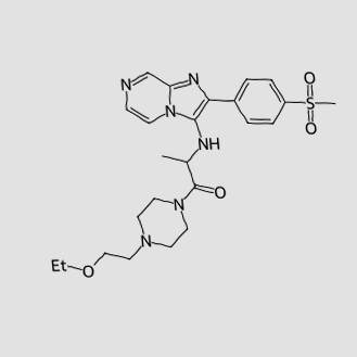 CCOCCN1CCN(C(=O)C(C)Nc2c(-c3ccc(S(C)(=O)=O)cc3)nc3cnccn23)CC1